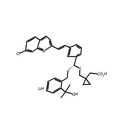 CC(C)(O)c1ccccc1CC[C@@H](SCC1(CC(=O)O)CC1)c1cccc(/C=C/c2ccc3ccc(Cl)cc3n2)c1.[LiH]